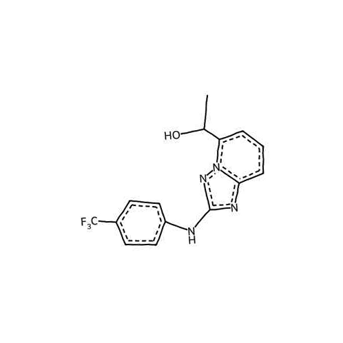 CC(O)c1cccc2nc(Nc3ccc(C(F)(F)F)cc3)nn12